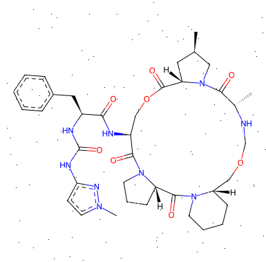 C[C@@H]1C[C@H]2C(=O)OC[C@H](NC(=O)[C@H](Cc3ccccc3)NC(=O)Nc3ccn(C)n3)C(=O)N3CCC[C@H]3C(=O)N3CCCC[C@H]3COCN[C@@H](C)C(=O)N2C1